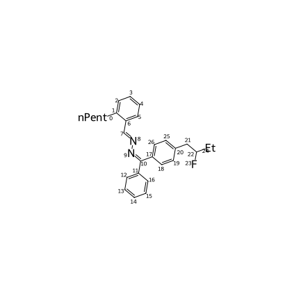 CCCCCc1ccccc1C=NN=C(c1ccccc1)c1ccc(CC(F)CC)cc1